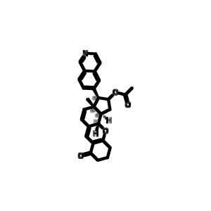 CC(=O)OC1C[C@H]2[C@@H]3OC4=C(C=C3C=C[C@]2(C)[C@H]1c1ccc2cnccc2c1)C(=O)CCC4